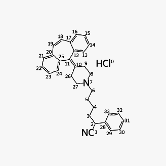 Cl.N#CC(CCCCN1CCC(=C2c3ccccc3C=Cc3ccccc32)CC1)c1ccccc1